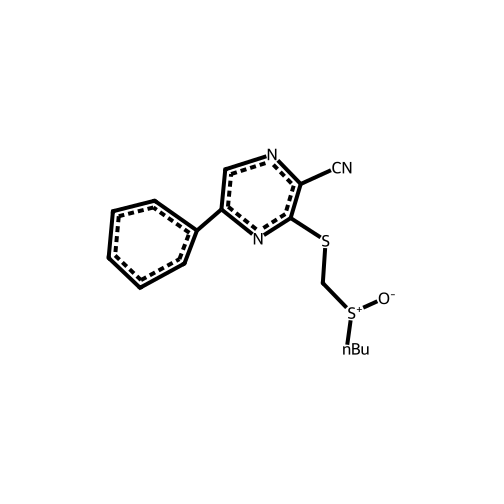 CCCC[S+]([O-])CSc1nc(-c2ccccc2)cnc1C#N